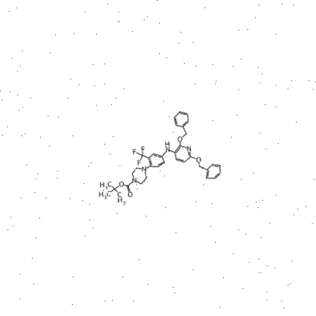 CC(C)(C)OC(=O)N1CCN(c2ccc(Nc3ccc(OCc4ccccc4)nc3OCc3ccccc3)cc2C(F)(F)F)CC1